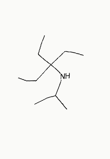 CCC(CC)(CC)NC(C)C